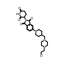 O=C1CCC(N2C(=O)c3ccc(N4CCC(CN5CCN(CCCl)CC5)CC4)cc3C2=O)C(=O)N1